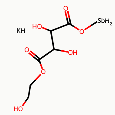 O=C([O][SbH2])C(O)C(O)C(=O)OCCO.[KH]